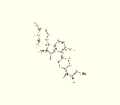 CN(C(=O)OC(C)(C)C)C1CCN(c2c(Cl)ccc3c2n(C)c(=O)n3C2CCC(=O)NC2=O)CC1